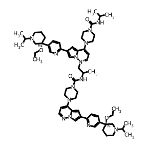 CCO[C@]1(c2ccc(-c3cc4c(N5CCN(C(=O)NC(C)C[n+]6ccc(N7CCN(C(=O)NC(C)C)CC7)c7cc(-c8ccc([C@]9(OCC)CCCN(C(C)C)C9)cn8)cn76)CC5)ccnn4c3)nc2)CCCN(C(C)C)C1